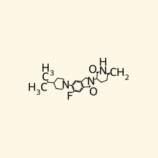 C=C1CCC(N2Cc3cc(N4CCC(C(C)C)CC4)c(F)cc3C2=O)C(=O)N1